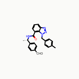 Cc1ccc(Cn2nnc3cccc(C(=O)N[C@@H](C)c4ccc(C=O)cc4)c32)cc1